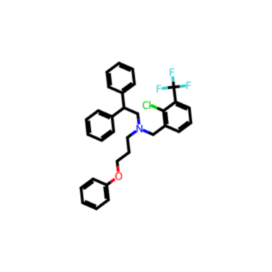 FC(F)(F)c1cccc(CN(CCCOc2ccccc2)CC(c2ccccc2)c2ccccc2)c1Cl